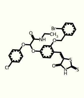 CCNC(=O)C(Oc1ccc(Cl)cc1)Oc1ccc(C=C2SC(=S)NC2=O)c(OCc2ccccc2Br)c1